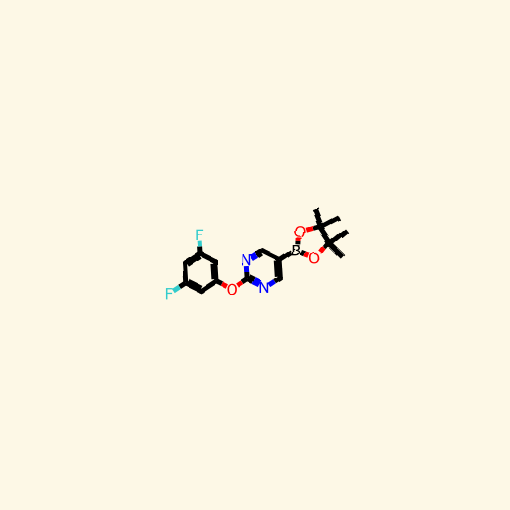 CC1(C)OB(c2cnc(Oc3cc(F)cc(F)c3)nc2)OC1(C)C